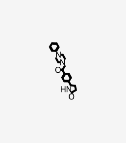 O=C1CCC(c2ccc(C(=O)CN3CCN(c4ccccc4)CC3)cc2)N1